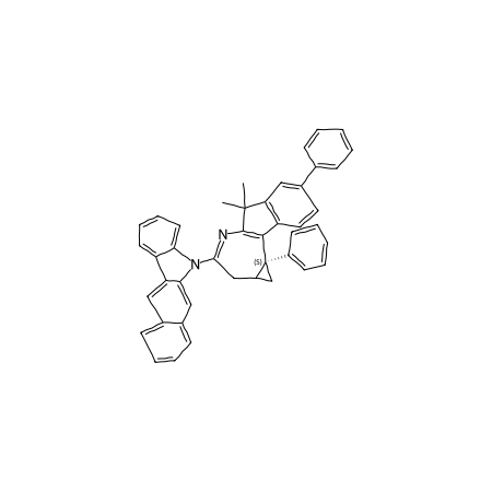 CC1(C)C2=C(c3ccc(-c4ccccc4)cc31)[C@@]1(c3ccccc3)CC1CC(n1c3ccccc3c3cc4ccccc4cc31)=N2